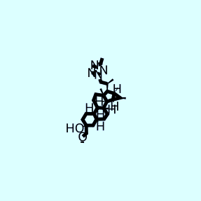 COC[C@@]1(O)CC[C@H]2[C@@H](CC[C@@H]3[C@@H]2CC[C@@]2(C)[C@H]3[C@@H]3[C@H](C)[C@@H]3[C@@H]2[C@H](C)Cn2nnc(C)n2)C1